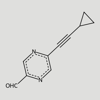 O=Cc1cnc(C#CC2CC2)cn1